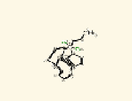 CC[CH]=[Cr]([Cl])([Cl])([CH]1C=CC=C1)[CH]1C=Cc2ccccc21